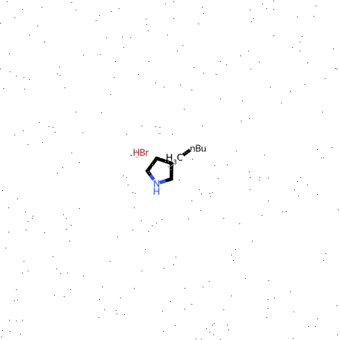 Br.C1CCNC1.CCCCC